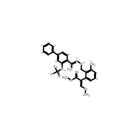 CO/C=C(/C(=O)OC)c1cccc(C)c1CO/N=C(\C)c1ccc(-c2ccccc2)cc1OC(F)(F)F